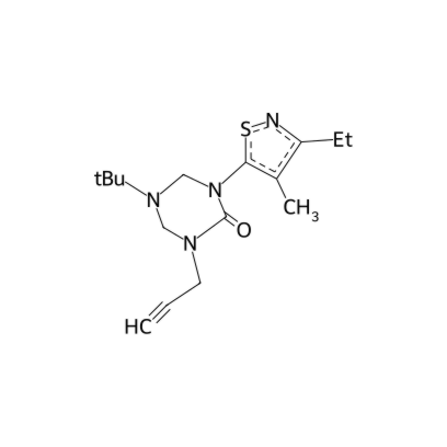 C#CCN1CN(C(C)(C)C)CN(c2snc(CC)c2C)C1=O